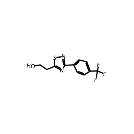 OCCc1nc(-c2ccc(C(F)(F)F)cc2)ns1